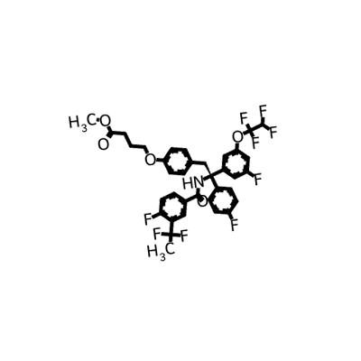 COC(=O)CCCOc1ccc(C[C@](NC(=O)c2ccc(F)c(C(C)(F)F)c2)(c2ccc(F)cc2)c2cc(F)cc(OC(F)(F)C(F)F)c2)cc1